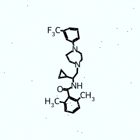 Cc1cccc(C)c1C(=O)NC(CN1CCN(c2cccc(C(F)(F)F)c2)CC1)C1CC1